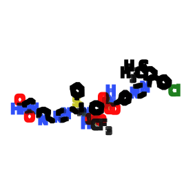 CC1(C)CCC(c2ccc(Cl)cc2)=C(CN2CCN(c3ccc(C(=O)NS(=O)(=O)c4ccc(N[C@H](CCN5CCN(Cc6ccc(N7CCC(=O)NC7=O)cn6)CC5)CSc5ccccc5)c(S(=O)(=O)C(F)(F)F)c4)cc3)CC2)C1